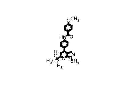 COc1ccc(C(=O)Nc2ccc(-c3cc(C(C)(C)C)nc4c3cnn4C)cc2)cc1